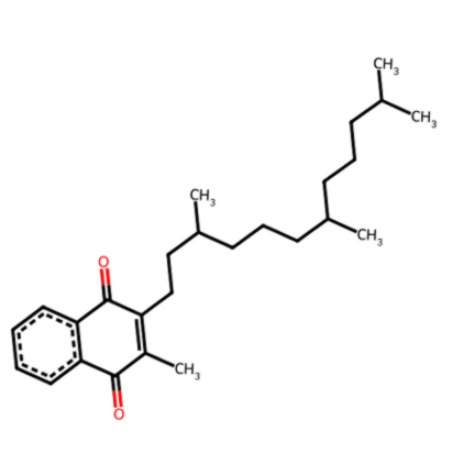 CC1=C(CCC(C)CCCC(C)CCCC(C)C)C(=O)c2ccccc2C1=O